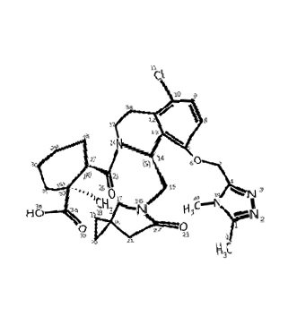 Cc1nnc(COc2ccc(Cl)c3c2[C@@H](CN2CC4(CC4)CC2=O)N(C(=O)[C@@H]2CCCC[C@]2(C)C(=O)O)CC3)n1C